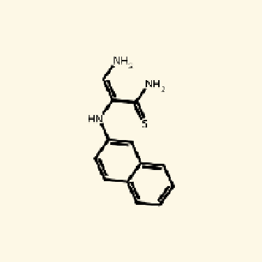 NC=C(Nc1ccc2ccccc2c1)C(N)=S